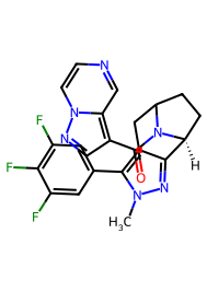 Cn1nc2c(c1-c1cc(F)c(F)c(F)c1)CC1CC[C@@H]2N1C(=O)c1cnn2ccncc12